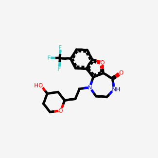 O=C1NCCN(CCC2CC(O)CCO2)c2c1oc1ccc(C(F)(F)F)cc21